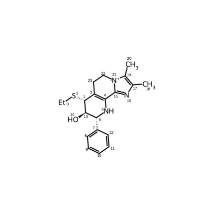 CCS[C@@H]1C2=C(N[C@H](c3ccccc3)[C@H]1O)C1=NC(C)=C(C)[N+]1CC2